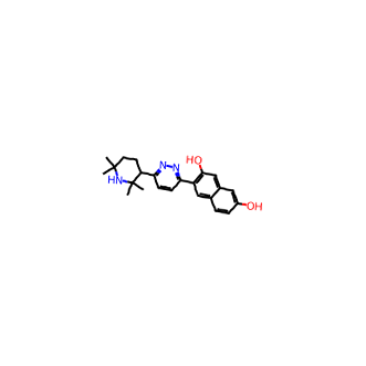 CC1(C)CCC(c2ccc(-c3cc4ccc(O)cc4cc3O)nn2)C(C)(C)N1